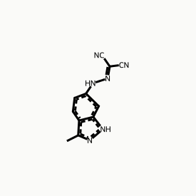 Cc1n[nH]c2cc(NN=C(C#N)C#N)ccc12